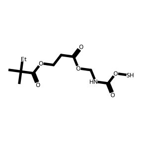 CCC(C)(C)C(=O)OCCC(=O)OCNC(=O)OS